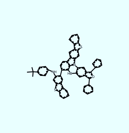 CC(C)(C)c1ccc(Nc2cc3sc4ccccc4c3cc2-c2ccc3c4cc5c(cc4n4c3c2Bc2cc3c(-c6ccccc6)oc(-c6ccccc6)c3cc2-4)sc2ccccc25)cc1